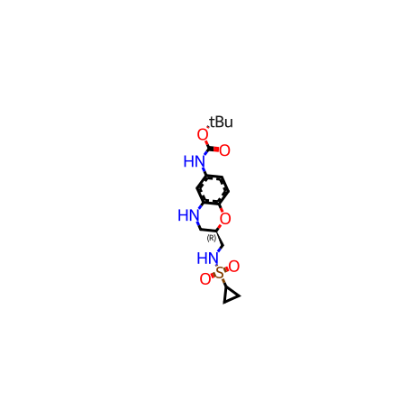 CC(C)(C)OC(=O)Nc1ccc2c(c1)NC[C@H](CNS(=O)(=O)C1CC1)O2